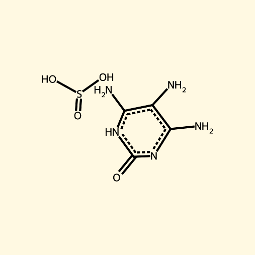 Nc1nc(=O)[nH]c(N)c1N.O=S(O)O